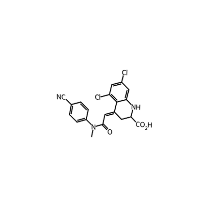 CN(C(=O)/C=C1\CC(C(=O)O)Nc2cc(Cl)cc(Cl)c21)c1ccc(C#N)cc1